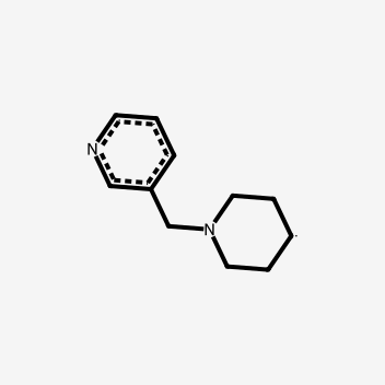 [CH]1CCN(Cc2cccnc2)CC1